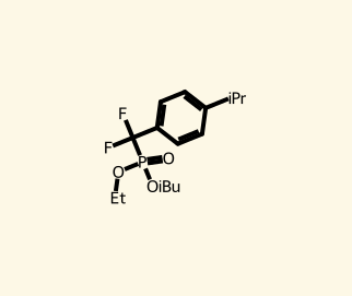 CCOP(=O)(OCC(C)C)C(F)(F)c1ccc(C(C)C)cc1